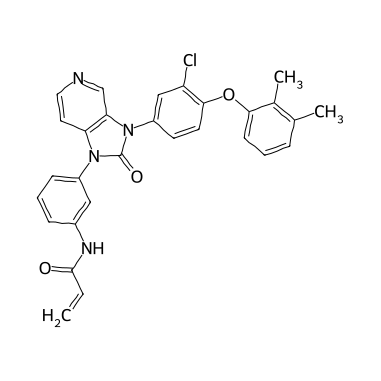 C=CC(=O)Nc1cccc(-n2c(=O)n(-c3ccc(Oc4cccc(C)c4C)c(Cl)c3)c3cnccc32)c1